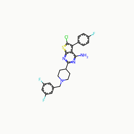 Nc1nc(C2CCN(Cc3cc(F)cc(F)c3)CC2)nc2sc(Cl)c(-c3ccc(F)cc3)c12